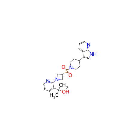 CC(C)(O)c1cccnc1N1CC(S(=O)(=O)N2CCC(c3c[nH]c4ncccc34)CC2)C1